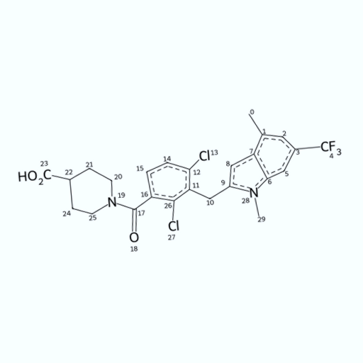 Cc1cc(C(F)(F)F)cc2c1cc(Cc1c(Cl)ccc(C(=O)N3CCC(C(=O)O)CC3)c1Cl)n2C